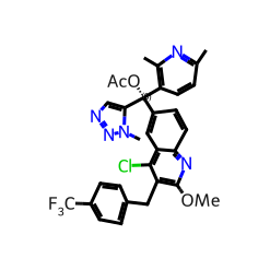 COc1nc2ccc([C@](OC(C)=O)(c3ccc(C)nc3C)c3cnnn3C)cc2c(Cl)c1Cc1ccc(C(F)(F)F)cc1